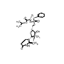 C=C1NC(=O)C=CN1[C@@H]1O[C@H](CO[P@](=O)(N[C@@H](C)C(=O)OC(C)C)Oc2ccccc2)[C@@H](O)[C@@]1(C)F